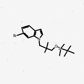 CC(C)(CO[Si](C)(C)C(C)(C)C)Cn1ccc2ccc(Br)cc21